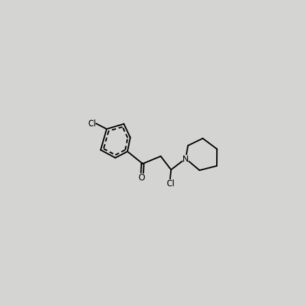 O=C(CC(Cl)N1CCCCC1)c1ccc(Cl)cc1